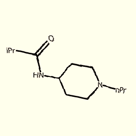 CCCN1CCC(NC(=O)C(C)C)CC1